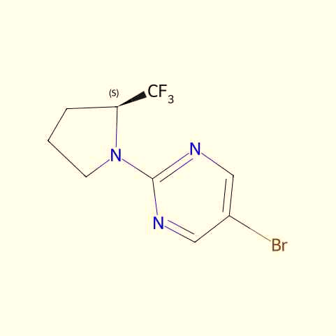 FC(F)(F)[C@@H]1CCCN1c1ncc(Br)cn1